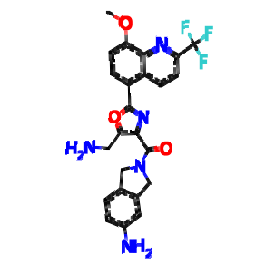 COc1ccc(-c2nc(C(=O)N3Cc4ccc(N)cc4C3)c(CN)o2)c2ccc(C(F)(F)F)nc12